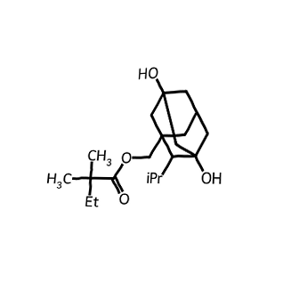 CCC(C)(C)C(=O)OCC12CC3CC(O)(CC(O)(C3)C1C(C)C)C2